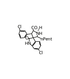 CCCCCC1NC(C(=O)O)C(c2cccc(Cl)c2)C12C(=O)Nc1cc(Cl)ccc12